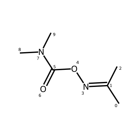 CC(C)=NOC(=O)N(C)C